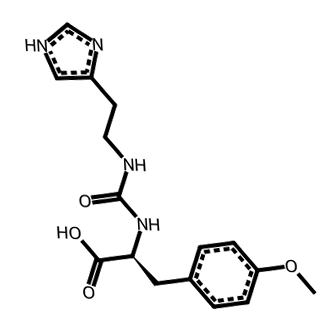 COc1ccc(C[C@H](NC(=O)NCCc2c[nH]cn2)C(=O)O)cc1